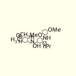 CCCOC1CC(C(O)NCC2CCC([SH](C)(C)=O)CC2)CCC1NC1CC(OC)CCC1OC